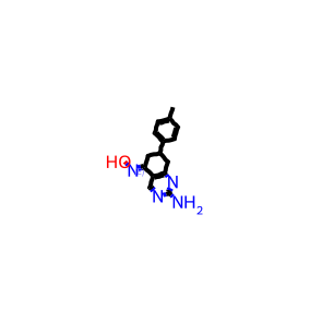 Cc1ccc(C2C/C(=N\O)c3cnc(N)nc3C2)cc1